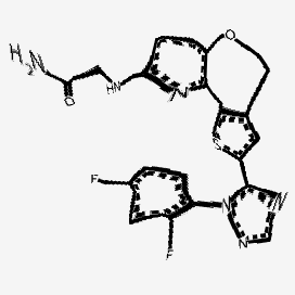 NC(=O)CNc1ccc2c(n1)-c1sc(-c3ncnn3-c3ccc(F)cc3F)cc1CCO2